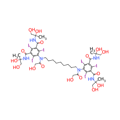 CC(O)(CO)NC(=O)c1c(I)c(C(=O)NC(C)(O)CO)c(I)c(N(CCCCCCCCCN(C(=O)CO)c2c(I)c(C(=O)NC(C)(O)CO)c(I)c(C(=O)NC(C)(O)CO)c2I)C(=O)CO)c1I